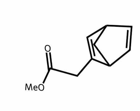 COC(=O)CC1=CC2C=CC1C2